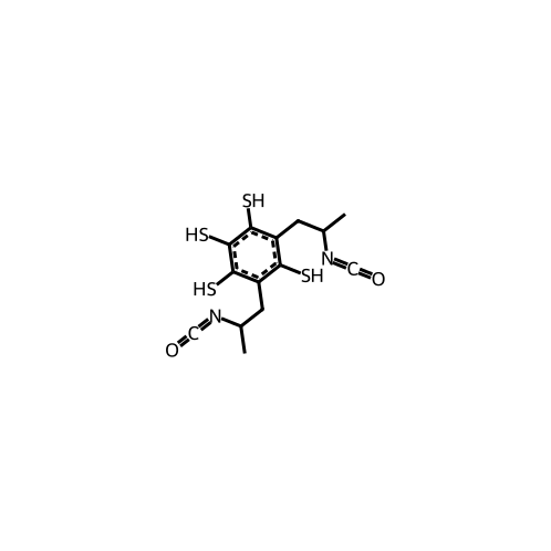 CC(Cc1c(S)c(S)c(S)c(CC(C)N=C=O)c1S)N=C=O